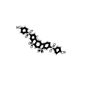 N#Cc1ccc(S(=O)(=O)c2ccc3c(c2)S(=O)(=O)c2cc4c(cc2-3)-c2ccc(S(=O)(=O)c3ccc(C#N)cc3)cc2S4(=O)=O)cc1